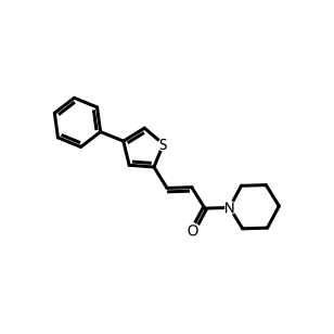 O=C(/C=C/c1cc(-c2ccccc2)cs1)N1CCCCC1